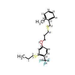 CCCSc1cc(OCCCSCc2ccccc2C)ccc1C(F)(F)F